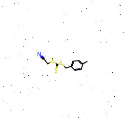 Cc1ccc(CSC(=S)SCC#N)cc1